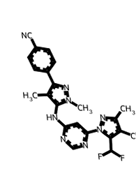 Cc1nn(-c2cc(Nc3c(C)c(-c4ccc(C#N)cc4)nn3C)ncn2)c(C(F)F)c1Cl